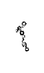 O=C1CC[C@@H](CN2CCCCC2)N1c1ccc(OCCCN2CCN(C3CCCC3)CC2)cc1